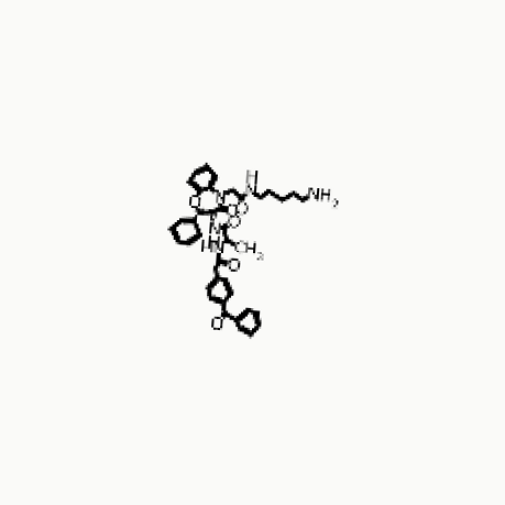 CC(NC(=O)Cc1ccc(C(=O)c2ccccc2)cc1)C(=O)N[C@@H]1C(=O)N(CC(=O)NCCCCCN)c2ccccc2O[C@@H]1c1ccccc1